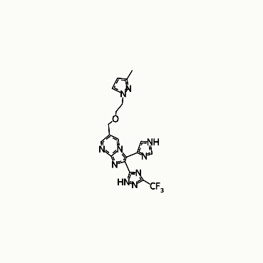 Cc1ccn(CCOCc2cnc3nc(-c4nc(C(F)(F)F)n[nH]4)c(-c4c[nH]cn4)n3c2)n1